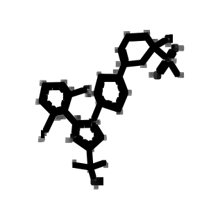 CC(C)(O)c1cn(-c2ccc(C3=CC=CC(Cl)(S(C)(=O)=O)C3)cc2)c(-c2c(F)cccc2Cl)n1